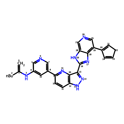 C=C(CCCC)Nc1cncc(-c2ccc3[nH]nc(-c4nc5c(C6=CCC=C6)cncc5[nH]4)c3n2)c1